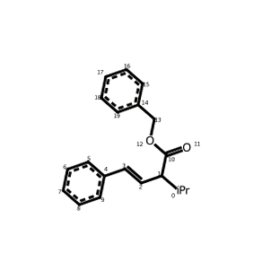 CC(C)C(C=Cc1ccccc1)C(=O)OCc1ccccc1